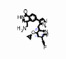 Cn1ncc(-c2ccc3c(=O)[nH]nc(CN)c3c2)c1/C=C(C#N)/C(=C\C(C#CF)=C\F)OC1CC1